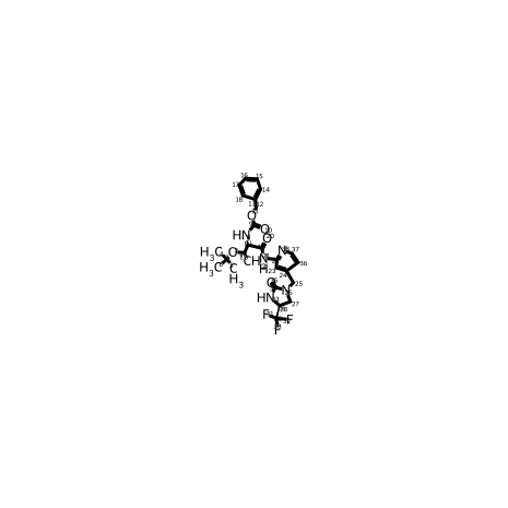 C[C@@H](OC(C)(C)C)[C@H](NC(=O)OCc1ccccc1)C(=O)Nc1cc(CN2C[C@@H](C(F)(F)F)NC2=O)ccn1